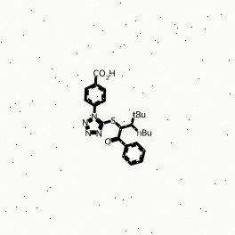 CCCCC(C(Sc1nnnn1-c1ccc(C(=O)O)cc1)C(=O)c1ccccc1)C(C)(C)C